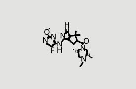 CCN1C[C@H](C)N(C(=O)C2Cc3c(Nc4nc(OC)ncc4F)n[nH]c3C2(C)C)C[C@H]1C